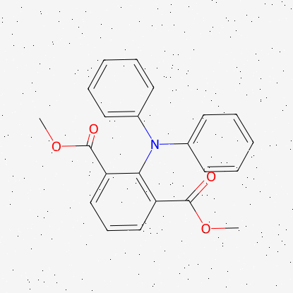 COC(=O)c1cccc(C(=O)OC)c1N(c1ccccc1)c1ccccc1